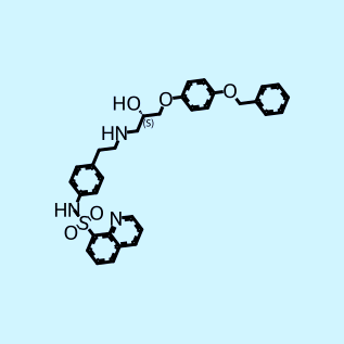 O=S(=O)(Nc1ccc(CCNC[C@H](O)COc2ccc(OCc3ccccc3)cc2)cc1)c1cccc2cccnc12